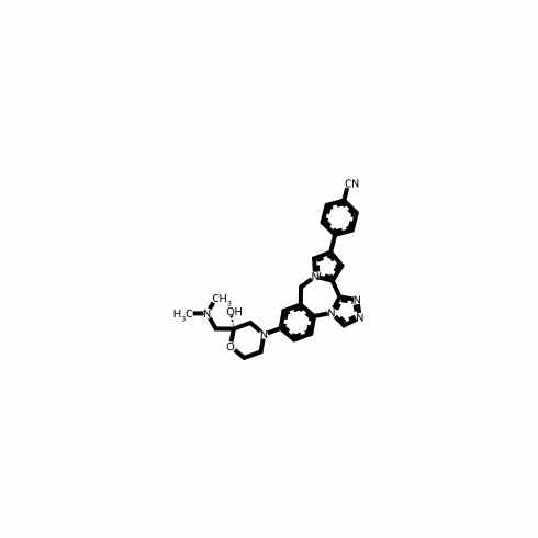 CN(C)C[C@@]1(O)CN(c2ccc3c(c2)Cn2cc(-c4ccc(C#N)cc4)cc2-c2nncn2-3)CCO1